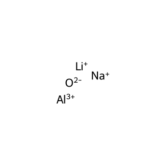 [Al+3].[Li+].[Na+].[O-2]